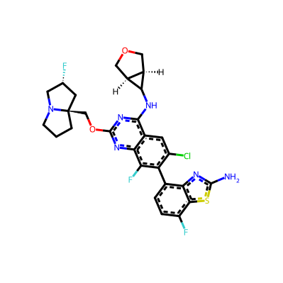 Nc1nc2c(-c3c(Cl)cc4c(NC5[C@H]6COC[C@@H]56)nc(OC[C@@]56CCCN5C[C@H](F)C6)nc4c3F)ccc(F)c2s1